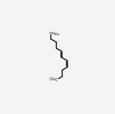 CCCCCCCCC/C=C/C=C\CCC=O